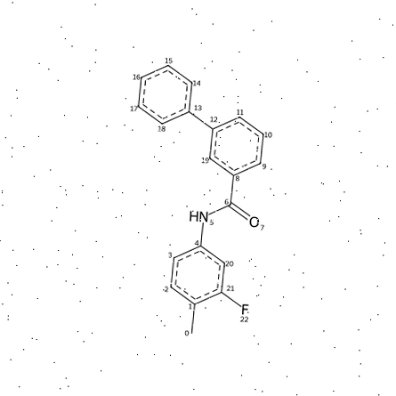 Cc1ccc(NC(=O)c2cccc(-c3ccccc3)c2)cc1F